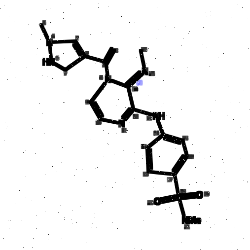 C=C(C1=CN(C)NC1)n1ccnc(Nc2ccc(S(=O)(=O)NC)cc2)/c1=N/C